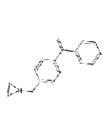 C=C(c1ccccc1)c1ccc(CN2CC2)cc1